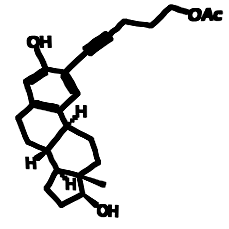 CC(=O)OCCCC#Cc1cc2c(cc1O)CC[C@@H]1[C@@H]2CC[C@]2(C)[C@@H](O)CC[C@@H]12